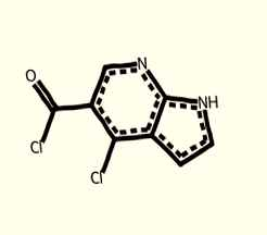 O=C(Cl)c1cnc2[nH]ccc2c1Cl